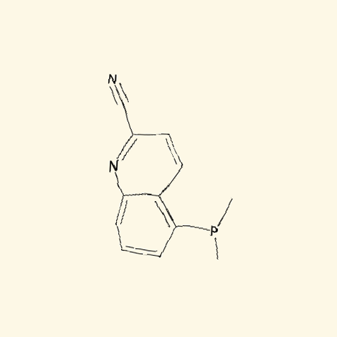 CP(C)c1cccc2nc(C#N)ccc12